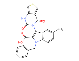 Cc1ccc2c(c1)c(-n1c(=O)[nH]c3cscc3c1=O)c(C(=O)O)n2Cc1ccccc1